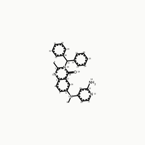 Cc1nc2ccc(N(C)c3ccnc(N)c3)cc2c(=O)n1C(c1ccccc1)c1ccccc1